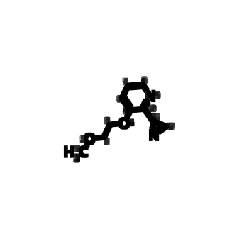 COCCOc1cccnc1C1C=N1